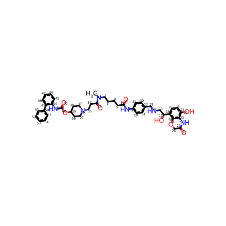 CN(CCCCC(=O)Nc1ccc(CNC[C@H](O)c2ccc(O)c3c2OCC(=O)N3)cc1)C(=O)CCN1CCC(OC(=O)Nc2ccccc2-c2ccccc2)CC1